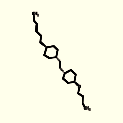 CC/C=C/CC[C@H]1CC[C@H](CC[C@H]2CC[C@H](OCCCC)CC2)CC1